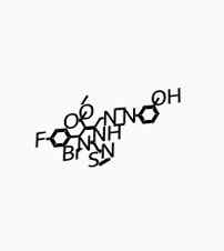 CCOC(=O)C1=C(CN2CCN(c3cccc(O)c3)CC2)NC(c2nccs2)=NC1c1ccc(F)cc1Br